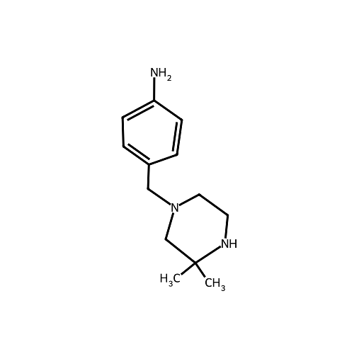 CC1(C)CN(Cc2ccc(N)cc2)CCN1